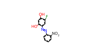 O=[N+]([O-])c1ccccc1N=Nc1cc(F)c(O)cc1O